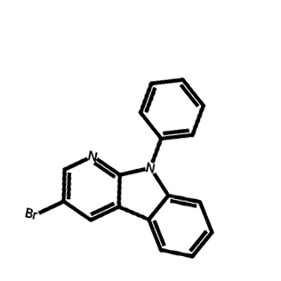 Brc1cnc2c(c1)c1ccccc1n2-c1ccccc1